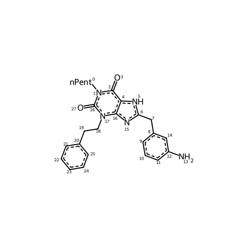 CCCCCn1c(=O)c2[nH]c(Cc3cccc(N)c3)nc2n(CCc2ccccc2)c1=O